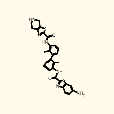 Cc1c(NC(=O)c2nc3c(s2)CNCC3)cccc1-c1cccc(NC(=O)c2nc3ccc(N)cc3s2)c1C